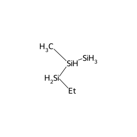 CC[SiH2][SiH](C)[SiH3]